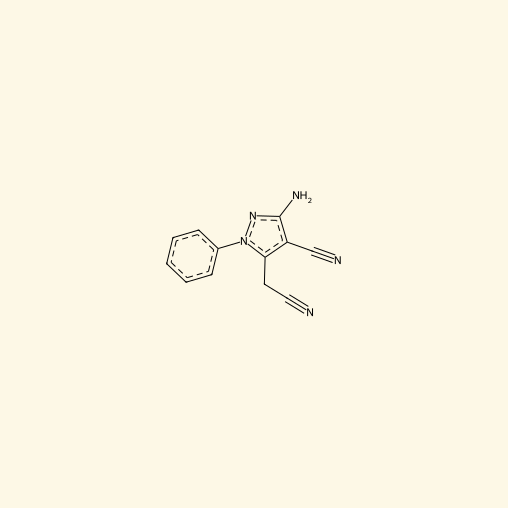 N#CCc1c(C#N)c(N)nn1-c1ccccc1